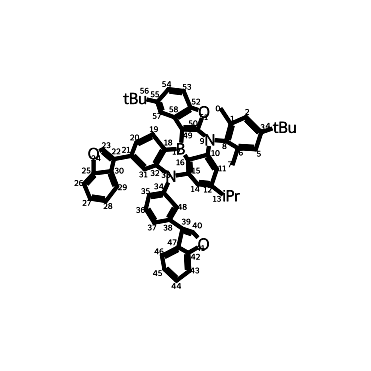 Cc1cc(C(C)(C)C)cc(C)c1N1c2cc(C(C)C)cc3c2B(c2ccc(-c4coc5ccccc45)cc2N3c2cccc(-c3coc4ccccc34)c2)c2c1oc1ccc(C(C)(C)C)cc21